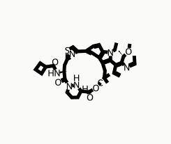 C=C/C(=C(\N=C/C)[C@H](C)OC)c1c2c3cc(ccc3n1CC)-c1csc(n1)C[C@H](NC(=O)C1CCC1)C(=O)N1CCC[C@H](N1)C(=O)OCC(C)(C)C2